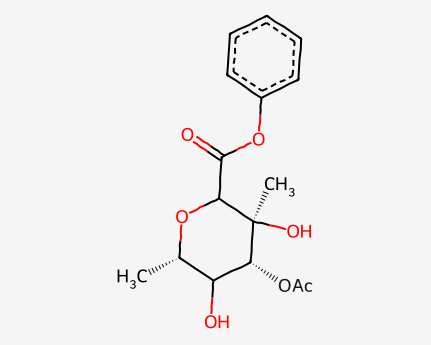 CC(=O)O[C@@H]1C(O)[C@H](C)OC(C(=O)Oc2ccccc2)[C@@]1(C)O